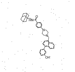 O=C(NCC12CC3CC(CC(C3)C1)C2)c1ccc(N2CCN(Cc3ccc(-c4cccc(O)c4)c4ccccc34)CC2)cc1